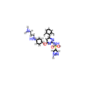 Cc1cccc(C)c1-c1cc(Oc2ccc(NCCCN(C)C)cc2)nc(NS(=O)(=O)c2cnn(C)c2)n1